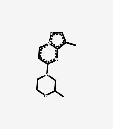 Cc1cnn2ccc(N3CCOC(C)C3)nc12